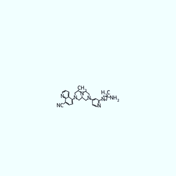 CC1CN(c2ccc(C#N)c3ncccc23)CC2CN(c3ccnc(N4CC(C)(N)C4)c3)CCN12